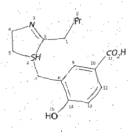 CC(C)CC1=NCC[SH]1Cc1cc(C(=O)O)ccc1O